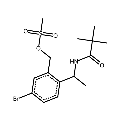 CC(NC(=O)C(C)(C)C)c1ccc(Br)cc1COS(C)(=O)=O